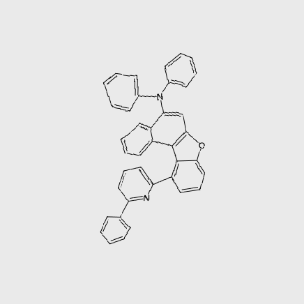 c1ccc(-c2cccc(-c3cccc4oc5cc(N(c6ccccc6)c6ccccc6)c6ccccc6c5c34)n2)cc1